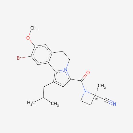 COc1cc2c(cc1Br)-c1c(CC(C)C)cc(C(=O)N3CC[C@]3(C)C#N)n1CC2